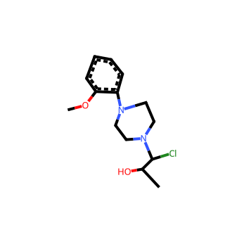 COc1ccccc1N1CCN(C(Cl)C(C)O)CC1